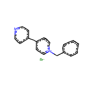 [Br-].c1ccc(C[n+]2ccc(-c3ccncc3)cc2)cc1